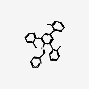 Cc1ccccc1-c1cc(-c2ccccc2C)c(/N=C/c2ccccn2)c(-c2ccccc2C)c1